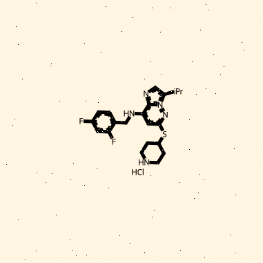 CC(C)c1cnc2c(NCc3ccc(F)cc3F)cc(SC3CCNCC3)nn12.Cl